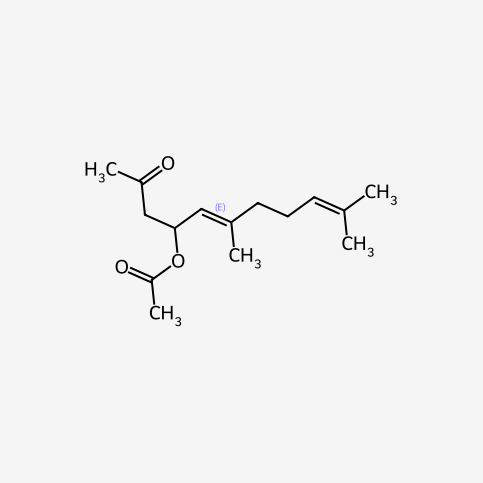 CC(=O)CC(/C=C(\C)CCC=C(C)C)OC(C)=O